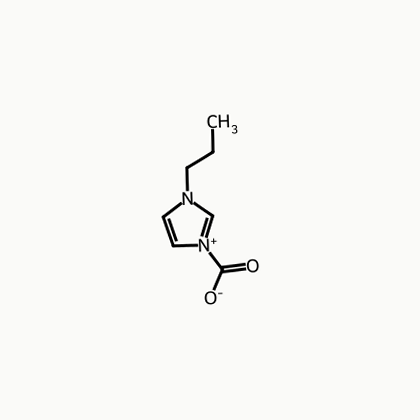 CCCn1cc[n+](C(=O)[O-])c1